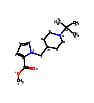 COC(=O)c1cccn1CC1CCN(C(C)(C)C)CC1